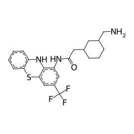 NCC1CCCC(CC(=O)Nc2cc(C(F)(F)F)cc3c2Nc2ccccc2S3)C1